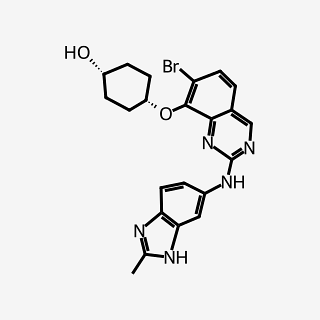 Cc1nc2ccc(Nc3ncc4ccc(Br)c(O[C@H]5CC[C@@H](O)CC5)c4n3)cc2[nH]1